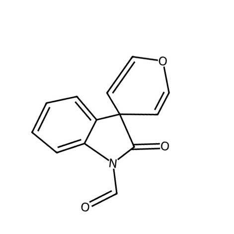 O=CN1C(=O)C2(C=COC=C2)c2ccccc21